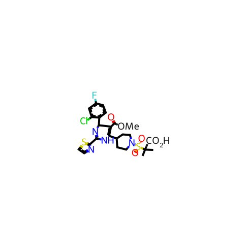 COC(=O)C1=C(C2CCN(S(=O)(=O)C(C)(C)C(=O)O)CC2)NC(c2nccs2)=NC1c1ccc(F)cc1Cl